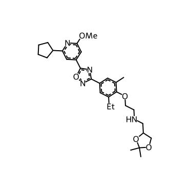 CCc1cc(-c2noc(-c3cc(OC)nc(C4CCCC4)c3)n2)cc(C)c1OCCNCC1COC(C)(C)O1